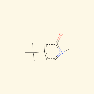 Cn1ccc(C(C)(C)C)cc1=O